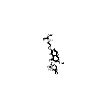 O=C(O)NCCOc1ccc2cc(O)c(N3CC(=O)NS3(=O)=O)c(F)c2c1